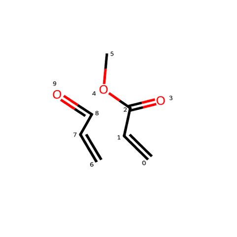 C=CC(=O)OC.C=CC=O